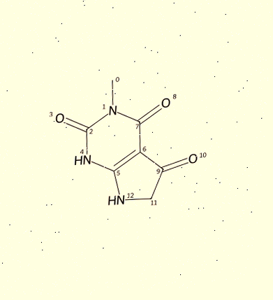 Cn1c(=O)[nH]c2c(c1=O)C(=O)CN2